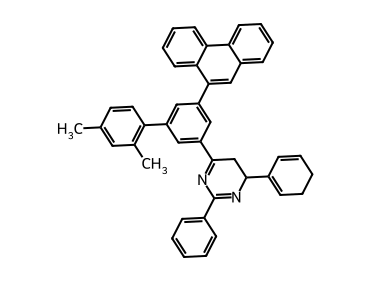 Cc1ccc(-c2cc(C3=NC(c4ccccc4)=NC(C4=CCCC=C4)C3)cc(-c3cc4ccccc4c4ccccc34)c2)c(C)c1